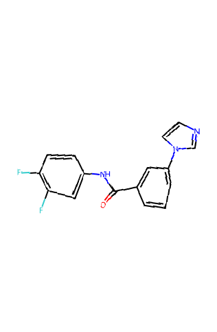 O=C(Nc1ccc(F)c(F)c1)c1cccc(-n2ccnc2)c1